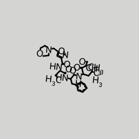 CCC(NC(=O)c1cc(CN2CCOCC2)on1)C(=O)NC(Cc1ccccc1)C(=O)NC(CC(C)C)C(=O)[C@@]1(C)CO1